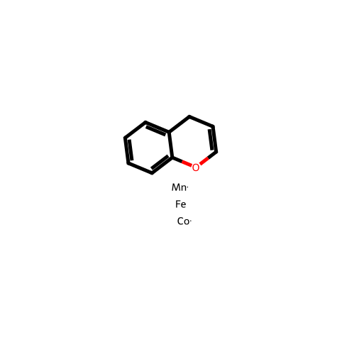 C1=COc2ccccc2C1.[Co].[Fe].[Mn]